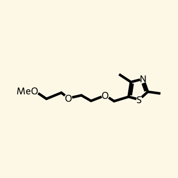 COCCOCCOCc1sc(C)nc1C